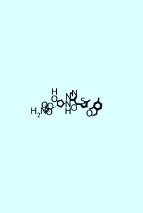 Cc1ccc2c(c1)[C@@H](c1cc(C(=O)c3cncnc3N[C@@H]3C[C@H](COS(N)(=O)=O)[C@@H](O)C3)sc1C)OCC2